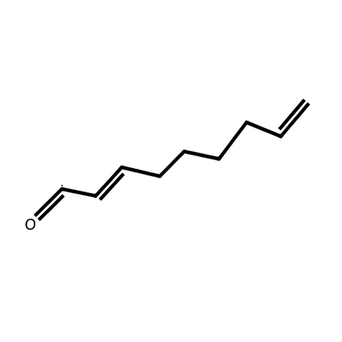 C=CCCCCC=C[C]=O